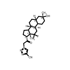 C[C@@]1(O)CCC2[C@H](CC[C@H]3C4CC[C@H](C(=O)Cn5cc(C#N)nn5)[C@@]4(C)C(F)(F)C[C@H]23)C1